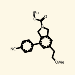 COCCc1cc2c(c(-c3ccc(C#N)cc3)c1)CN(C(=O)OC(C)(C)C)C2